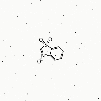 O=S1(=O)C=[N+]([O-])c2ccccc21